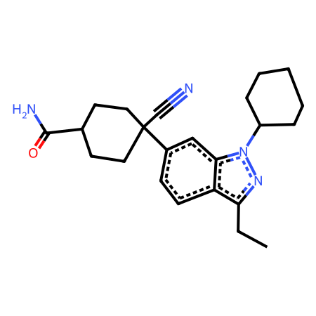 CCc1nn(C2CCCCC2)c2cc(C3(C#N)CCC(C(N)=O)CC3)ccc12